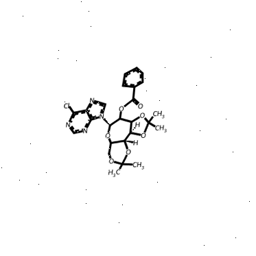 CC1(C)OCC2O[C@@H](n3cnc4c(Cl)ncnc43)C(OC(=O)c3ccccc3)C3OC(C)(C)O[C@H]3[C@@H]2O1